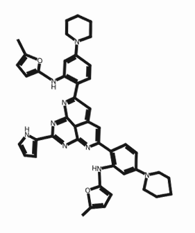 Cc1ccc(Nc2cc(N3CCCCC3)ccc2C2=CC3=CC(c4ccc(N5CCCCC5)cc4Nc4ccc(C)o4)=NC4=NC(c5ccc[nH]5)=NC(=N2)C34)o1